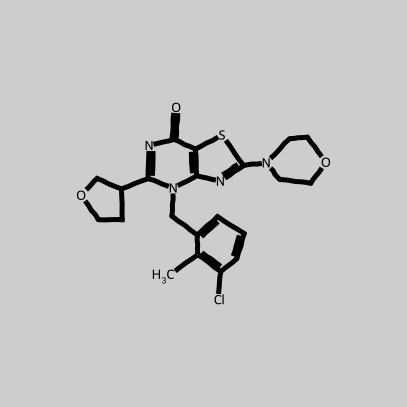 Cc1c(Cl)cccc1Cn1c(C2CCOC2)nc(=O)c2sc(N3CCOCC3)nc21